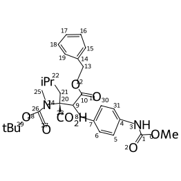 COC(=O)Nc1ccc(CC(C(=O)OCc2ccccc2)[C@](CC(C)C)(C(=O)O)N(C)C(=O)OC(C)(C)C)cc1